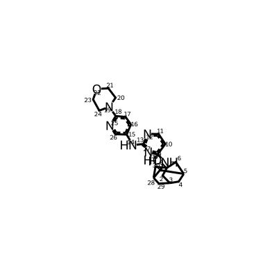 O[C@]12CC3CC(C1)[C@@H](Nc1ccnc(Nc4ccc(N5CCOCC5)nc4)n1)C(C3)C2